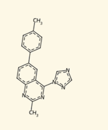 Cc1ccc(-c2ccc3nc(C)nc(-n4cncn4)c3c2)cc1